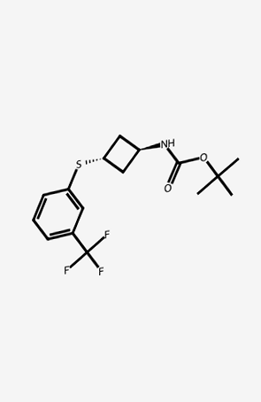 CC(C)(C)OC(=O)N[C@H]1C[C@H](Sc2cccc(C(F)(F)F)c2)C1